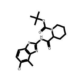 Cc1c(Cl)ccc2sc(NC(=O)C3CCCCN3C(=O)OC(C)(C)C)nc12